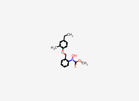 CCc1ccc(OCc2ccccc2N(O)C(=S)OC)c(C)c1